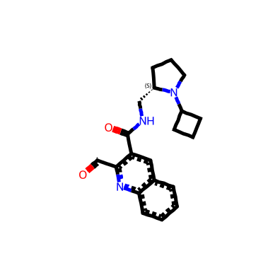 O=[C]c1nc2ccccc2cc1C(=O)NC[C@@H]1CCCN1C1CCC1